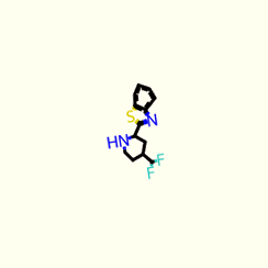 FC(F)C1CCNC(c2nc3ccccc3s2)C1